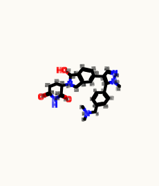 CN(C)Cc1ccc(-c2c(-c3ccc4c(c3)CN(C3CCC(=O)NC3=O)C4O)cnn2C)cc1